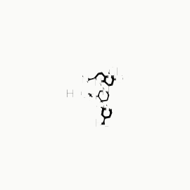 CCO[C@H]1CN(c2cc(=O)n(C)c3ccc(C#N)nc23)CC[C@@H]1Oc1cc(C(F)(F)F)ccn1